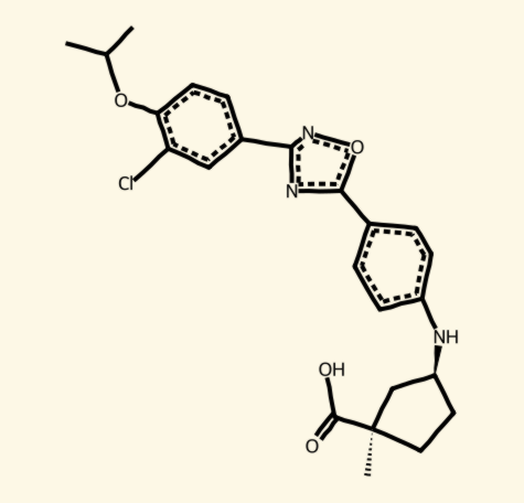 CC(C)Oc1ccc(-c2noc(-c3ccc(N[C@H]4CC[C@@](C)(C(=O)O)C4)cc3)n2)cc1Cl